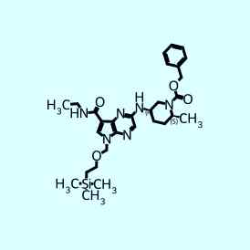 CCNC(=O)c1cn(COCC[Si](C)(C)C)c2ncc(N[C@@H]3CC[C@H](C)N(C(=O)OCc4ccccc4)C3)nc12